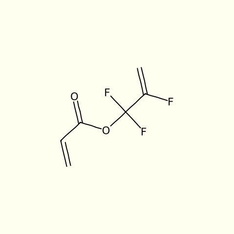 C=CC(=O)OC(F)(F)C(=C)F